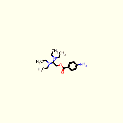 CCN(CC)C(COC(=O)c1ccc(N)cc1)N(CC)CC